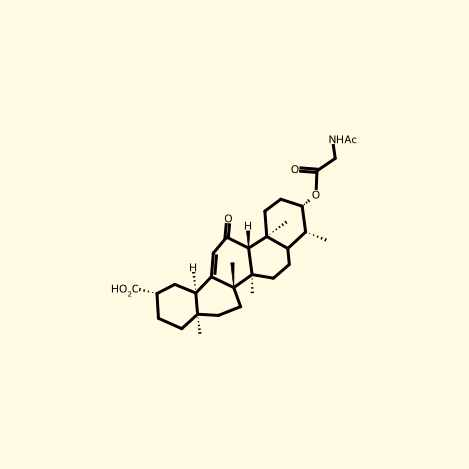 CC(=O)NCC(=O)O[C@H]1CC[C@@]2(C)C(CC[C@]3(C)[C@@H]2C(=O)C=C2[C@@H]4C[C@@H](C(=O)O)CC[C@]4(C)CC[C@]23C)[C@H]1C